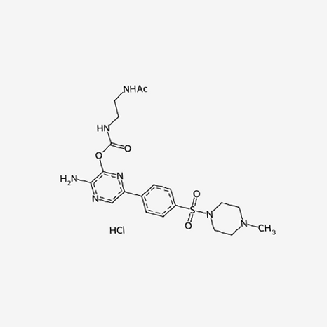 CC(=O)NCCNC(=O)Oc1nc(-c2ccc(S(=O)(=O)N3CCN(C)CC3)cc2)cnc1N.Cl